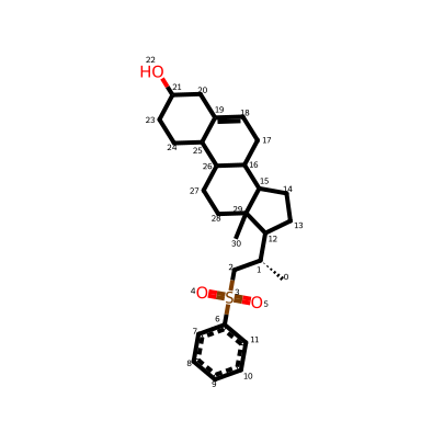 C[C@H](CS(=O)(=O)c1ccccc1)C1CCC2C3CC=C4CC(O)CCC4C3CCC21C